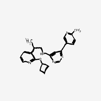 Cc1ccc(-c2cc(NCC(C)c3cccnc3OC3CCC3)ncn2)cn1